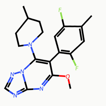 COc1nc2ncnn2c(N2CCC(C)CC2)c1-c1cc(F)c(C)cc1F